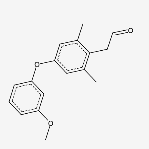 COc1cccc(Oc2cc(C)c(CC=O)c(C)c2)c1